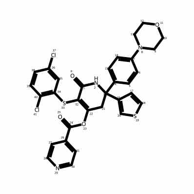 O=C1NC(c2ccc(N3CCOCC3)cc2)(c2ccsc2)CC(OC(=O)c2ccncc2)=C1Sc1cc(Cl)ccc1Cl